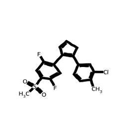 Cc1ccc(C2=C(c3cc(F)c(S(C)(=O)=O)cc3F)C=CC2)cc1Cl